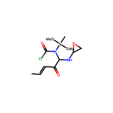 C/C=C/C(=O)C(NC1CO1)N(C(=O)Cl)[Si](C)(OC)OC